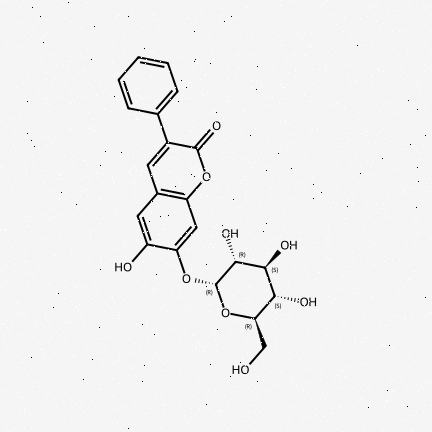 O=c1oc2cc(O[C@H]3O[C@H](CO)[C@@H](O)[C@H](O)[C@H]3O)c(O)cc2cc1-c1ccccc1